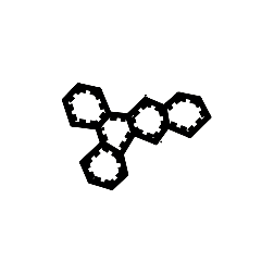 [c]1c2ccccc2[c]c2c1c1ccccc1c1ccccc21